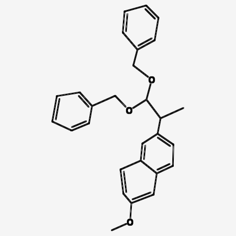 COc1ccc2cc(C(C)C(OCc3ccccc3)OCc3ccccc3)ccc2c1